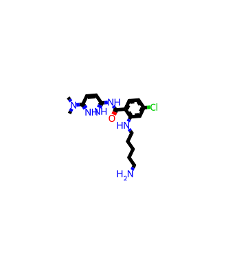 CN(C)C(=N)/C=C\C(=N)NC(=O)c1ccc(Cl)cc1NCCCCCN